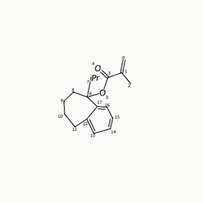 C=C(C)C(=O)OC1(C(C)C)CCCCc2ccccc21